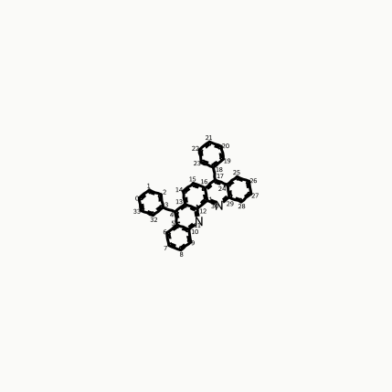 c1ccc(-c2c3ccccc3nc3c2ccc2c(-c4ccccc4)c4ccccc4nc23)cc1